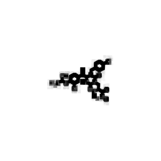 CC(C)Oc1ccc(NC2NC(=O)N(C[C@H](C)C(=O)N=O)C(=O)N2Cc2ccc(Cl)cc2)cc1Cl